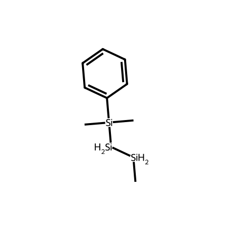 C[SiH2][SiH2][Si](C)(C)c1ccccc1